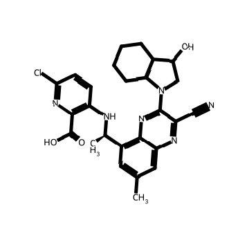 Cc1cc([C@@H](C)Nc2ccc(Cl)nc2C(=O)O)c2nc(N3CC(O)C4CCCCC43)c(C#N)nc2c1